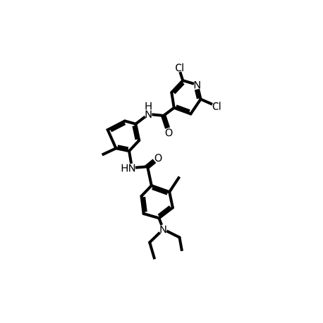 CCN(CC)c1ccc(C(=O)Nc2cc(NC(=O)c3cc(Cl)nc(Cl)c3)ccc2C)c(C)c1